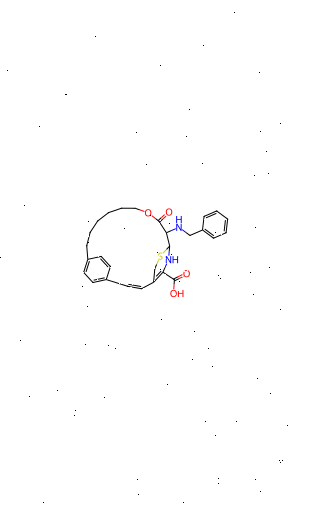 O=C(O)C1=C2/C=C/c3ccc(cc3)CCCCCCOC(=O)C(NCc3ccccc3)C(N1)SC2